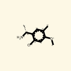 COc1cc(Cl)c([C@@H](C)N)cc1C